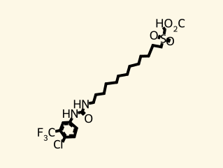 O=C(O)CS(=O)(=O)CCCCCCCCCCCCCNC(=O)Nc1ccc(Cl)c(C(F)(F)F)c1